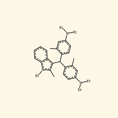 CCN(CC)c1ccc(C(c2ccc(N(CC)CC)cc2C)c2c(C)n(CC)c3ccccc23)c(C)c1